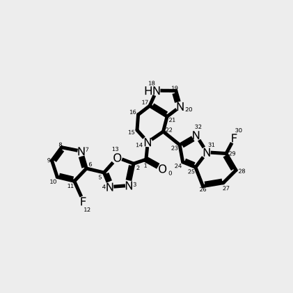 O=C(c1nnc(-c2ncccc2F)o1)N1CCc2[nH]cnc2C1c1cc2cccc(F)n2n1